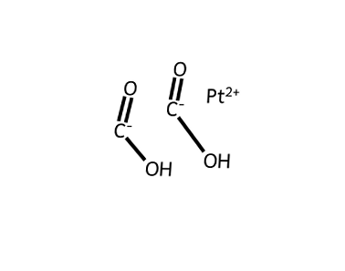 O=[C-]O.O=[C-]O.[Pt+2]